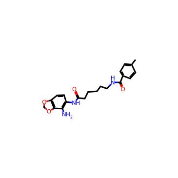 Cc1ccc(C(=O)NCCCCCC(=O)Nc2ccc3c(c2N)OCO3)cc1